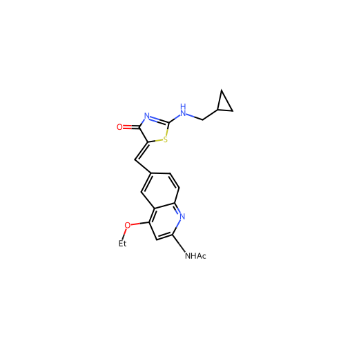 CCOc1cc(NC(C)=O)nc2ccc(/C=C3\SC(NCC4CC4)=NC3=O)cc12